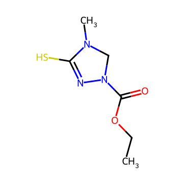 CCOC(=O)N1CN(C)C(S)=N1